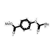 COC(=O)c1ccc(OC(=O)C(C)(C)C)cc1